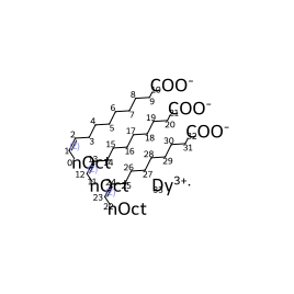 CCCCCCCC/C=C\CCCCCCCC(=O)[O-].CCCCCCCC/C=C\CCCCCCCC(=O)[O-].CCCCCCCC/C=C\CCCCCCCC(=O)[O-].[Dy+3]